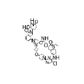 CNC(=O)COc1cc2cc(Nc3nc(N4CCC(O[C@H]5C[C@H](N6CCCN(c7cccc8c7CN(C7CCC(=O)NC7O)C8=O)C6)C5)CC4)ncc3Cl)ccc2n(C(C)C)c1=O